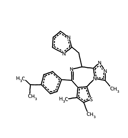 Cc1sc2c(c1C)C(c1ccc(C(C)C)cc1)=NC(Cc1ncccn1)c1nnc(C)n1-2